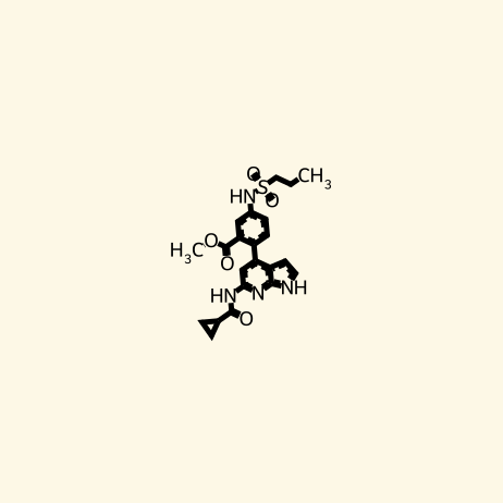 CCCS(=O)(=O)Nc1ccc(-c2cc(NC(=O)C3CC3)nc3[nH]ccc23)c(C(=O)OC)c1